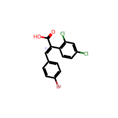 O=C(O)/C(=C/c1ccc(Br)cc1)c1ccc(Cl)cc1Cl